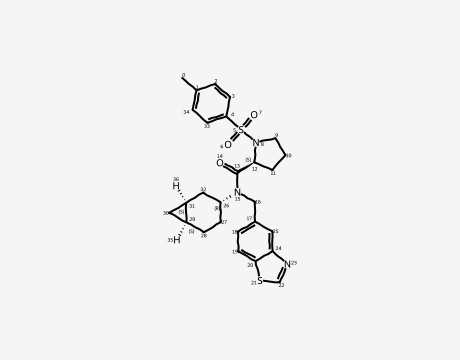 Cc1ccc(S(=O)(=O)N2CCC[C@H]2C(=O)N(Cc2ccc3scnc3c2)[C@@H]2CC[C@H]3C[C@H]3C2)cc1